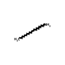 CCCCCCCCCCCCCCCCCCCC[CH]CN